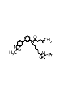 C=C(F)CCC(=O)N(CCCCCc1nc(C(C)C)no1)c1cccc(-c2ccc3nc(C)sc3c2)c1